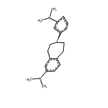 CN(C)c1cccc([C@H]2CCc3ccc(N(C)C)cc3CC2)c1